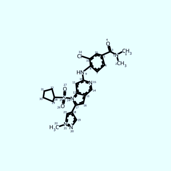 CN(C)C(=O)c1ccc(Nc2cc3c(cn2)cc(-c2cnn(C)c2)n3S(=O)(=O)C2CCCC2)c(Cl)c1